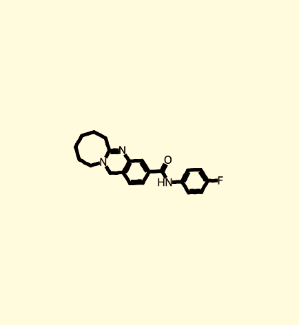 O=C(Nc1ccc(F)cc1)c1ccc2c(c1)N=C1CCCCCCN1C2